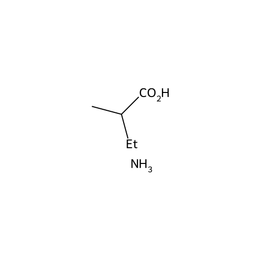 CCC(C)C(=O)O.N